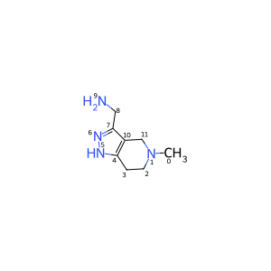 CN1CCc2[nH]nc(CN)c2C1